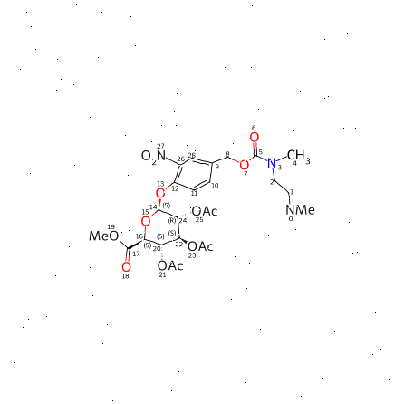 CNCCN(C)C(=O)OCc1ccc(O[C@@H]2O[C@H](C(=O)OC)[C@@H](OC(C)=O)[C@H](OC(C)=O)[C@H]2OC(C)=O)c([N+](=O)[O-])c1